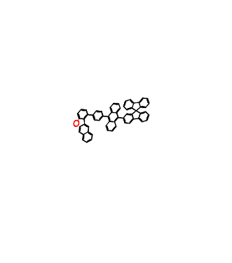 c1ccc2c(c1)-c1ccccc1C21c2ccccc2-c2ccc(-c3c4ccccc4c(-c4ccc(-c5cccc6oc7cc8ccccc8cc7c56)cc4)c4ccccc34)cc21